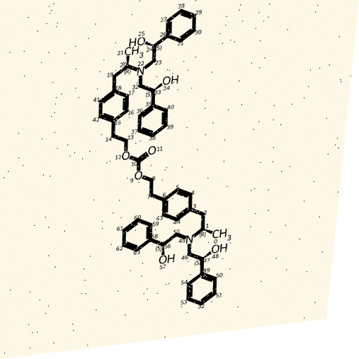 C[C@H](Cc1ccc(CCOC(=O)OCCc2ccc(C[C@@H](C)N(C[C@@H](O)c3ccccc3)C[C@@H](O)c3ccccc3)cc2)cc1)N(C[C@@H](O)c1ccccc1)C[C@@H](O)c1ccccc1